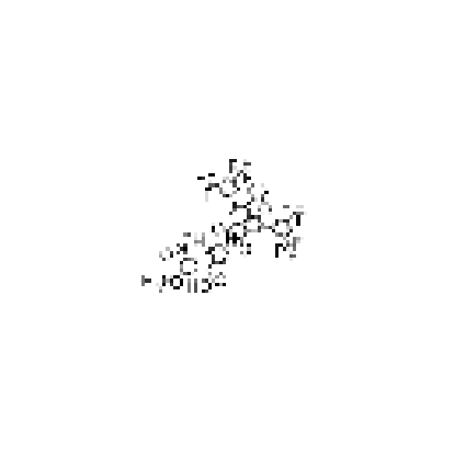 COc1cc(C(C(=O)O)c2ccc(-n3c(=O)c4cc(-c5cc(C(F)(F)F)cc(C(F)(F)F)c5)c5oc6ccccc6c6c(-c7cc(C(F)(F)F)cc(C(F)(F)F)c7)cc(c3=O)c4c56)cc2)cc(OC)c1C=O